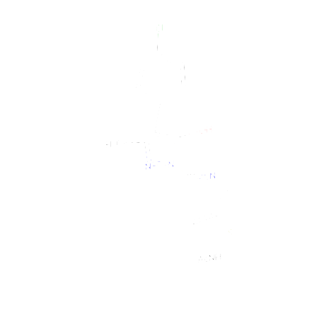 CC(=O)NSc1ccc(-n2nc(C)c(-c3ccc(Cl)cc3)c2O)nc1